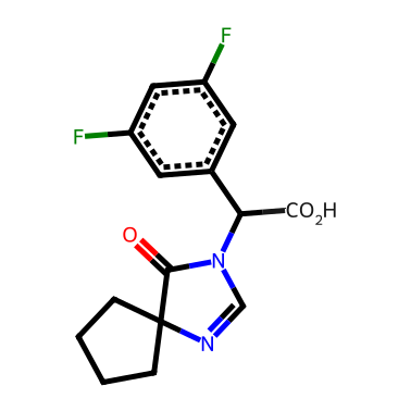 O=C(O)C(c1cc(F)cc(F)c1)N1C=NC2(CCCC2)C1=O